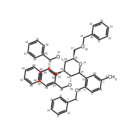 Cc1ccc(OCc2ccccc2)c(C2O[C@H](COCc3ccccc3)[C@@H](OCc3ccccc3)[C@H](OCc3ccccc3)[C@H]2OCc2ccccc2)c1